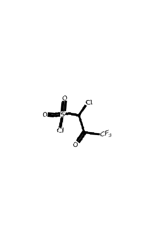 O=C(C(Cl)S(=O)(=O)Cl)C(F)(F)F